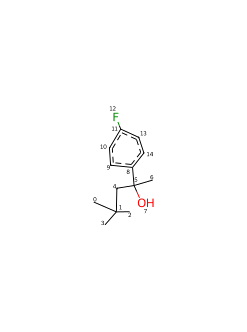 CC(C)(C)CC(C)(O)c1ccc(F)cc1